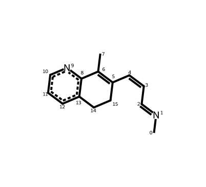 C/N=C/C=C\C1=C(C)c2ncccc2CC1